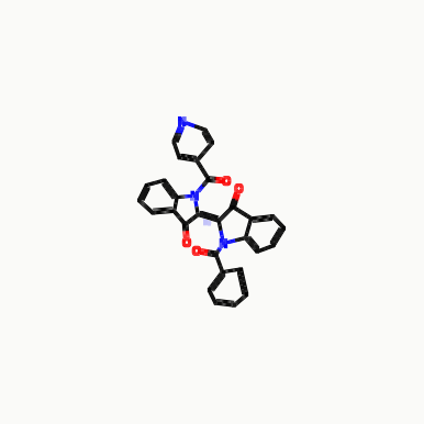 O=C1/C(=C2/C(=O)c3ccccc3N2C(=O)c2ccncc2)N(C(=O)c2ccccc2)c2ccccc21